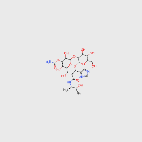 CC(C)[C@H](O)[C@@H](C)NC(=O)C[C@@H](OC1OC(CO)C(O)C(O)C1OC1OC(CO)C(O)C(OC(N)=O)C1O)c1cnc[nH]1